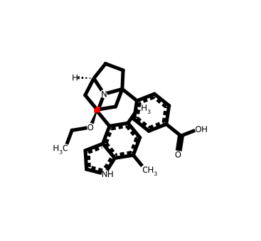 CCO[C@H]1C[C@H]2CCC(c3ccc(C(=O)O)cc3)(C1)N2Cc1c(C)cc(C)c2[nH]ccc12